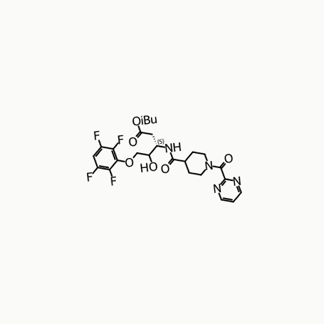 CC(C)COC(=O)C[C@H](NC(=O)C1CCN(C(=O)c2ncccn2)CC1)C(O)COc1c(F)c(F)cc(F)c1F